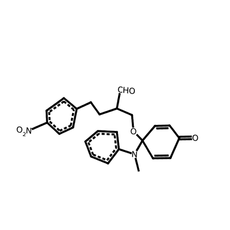 CN(c1ccccc1)C1(OCC(C=O)CCc2ccc([N+](=O)[O-])cc2)C=CC(=O)C=C1